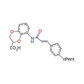 CCCCCc1ccc(C=CC(=O)Nc2cccc3c2OC(C(=O)O)CO3)cc1